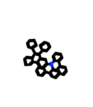 c1ccc(-c2ccccc2N(c2ccc3c(c2)c(-c2ccccc2)c(-c2ccccc2)c2ccccc23)c2ccccc2-c2ccccc2)cc1